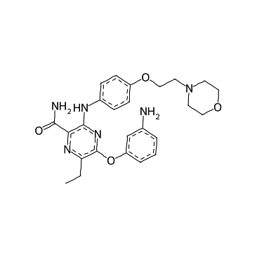 CCc1nc(C(N)=O)c(Nc2ccc(OCCN3CCOCC3)cc2)nc1Oc1cccc(N)c1